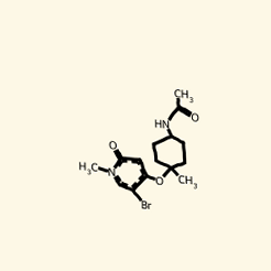 CC(=O)NC1CCC(C)(Oc2cc(=O)n(C)cc2Br)CC1